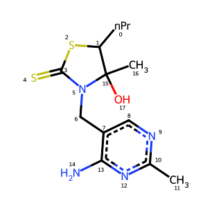 CCCC1SC(=S)N(Cc2cnc(C)nc2N)C1(C)O